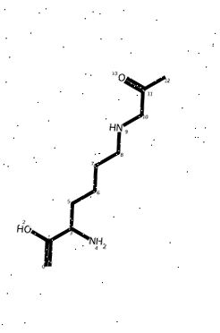 C=C(O)C(N)CCCCNCC(C)=O